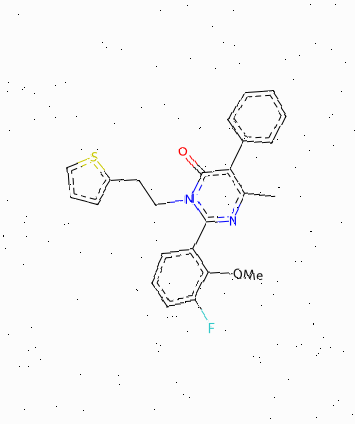 COc1c(F)cccc1-c1nc(C)c(-c2ccccc2)c(=O)n1CCc1cccs1